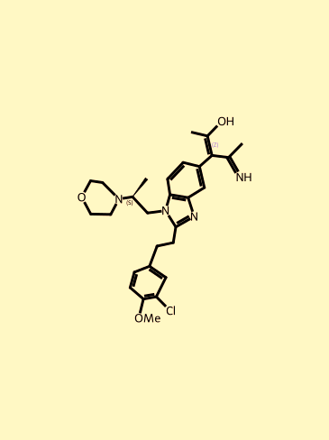 COc1ccc(CCc2nc3cc(/C(C(C)=N)=C(\C)O)ccc3n2C[C@H](C)N2CCOCC2)cc1Cl